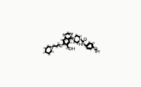 CC(C)Oc1ccc(NC(=O)N2CCN(c3ncnc4cc(OCCCN5CCCCC5)c(CO)cc34)CC2)cc1